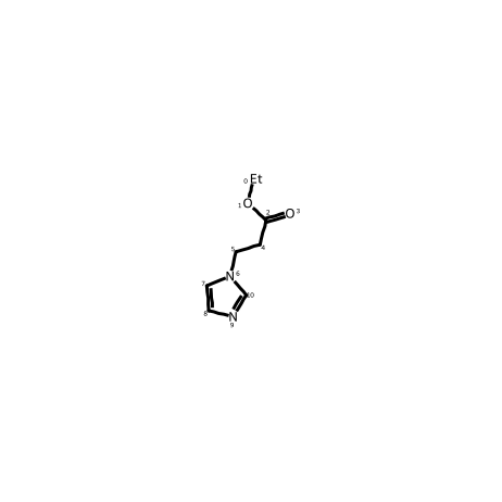 CCOC(=O)CCn1ccnc1